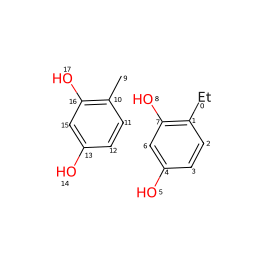 CCc1ccc(O)cc1O.Cc1ccc(O)cc1O